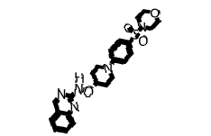 O=S(=O)(c1ccc(N2CCC(ONc3ncc4ccccc4n3)CC2)cc1)N1CCOCC1